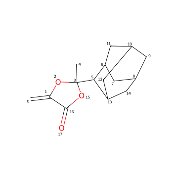 C=C1OC(C)(C2C3CC4CC(C3)CC2C4)OC1=O